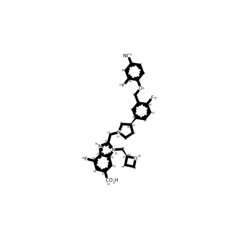 N#Cc1ccc(OCc2cc([C@H]3CCN(Cc4nc5c(F)cc(C(=O)O)cc5n4C[C@@H]4CCO4)C3)ccc2F)c(F)c1